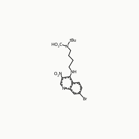 CC(C)(C)N(CCCCNc1c([N+](=O)[O-])cnc2cc(Br)ccc12)C(=O)O